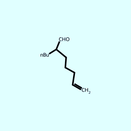 C=CCCCC(C=O)CCCC